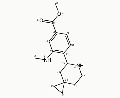 CNc1cc(C(=O)OC)ccc1C1CC2(CCN1)CC2